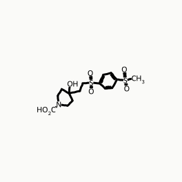 CS(=O)(=O)c1ccc(S(=O)(=O)CCC2(O)CCN(C(=O)O)CC2)cc1